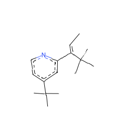 C/C=C(/c1cc(C(C)(C)C)ccn1)C(C)(C)C